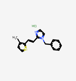 Cc1ccsc1C=Cc1nccn1Cc1ccccc1.Cl